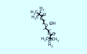 CC(C)(C)C(=O)N=CCOCC=NC(=O)C(C)(C)C.Cl